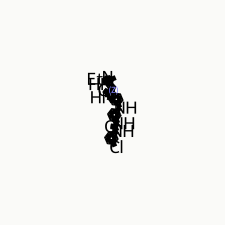 CCc1nc(C)c(/C=C2\C(=O)Nc3cc(Nc4cccc(NC(=O)Nc5cccc(Cl)c5)c4)ccc32)[nH]1